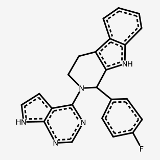 Fc1ccc(C2c3[nH]c4ccccc4c3CCN2c2ncnc3[nH]ccc23)cc1